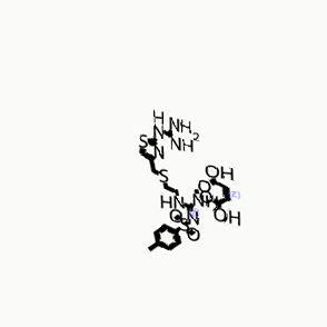 CN/C(=N/S(=O)(=O)c1ccc(C)cc1)NCCSCc1csc(NC(=N)N)n1.O=C(O)/C=C\C(=O)O